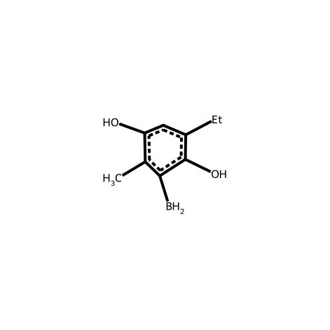 Bc1c(C)c(O)cc(CC)c1O